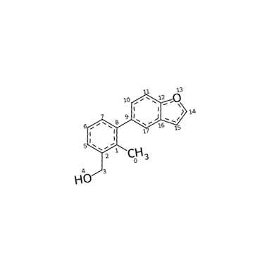 Cc1c(CO)cccc1-c1ccc2occc2c1